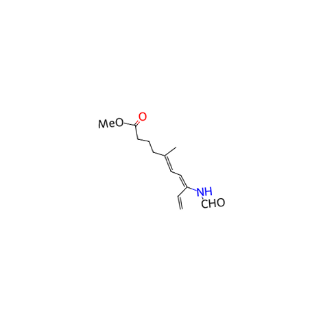 C=C/C(=C\C=C(/C)CCCC(=O)OC)NC=O